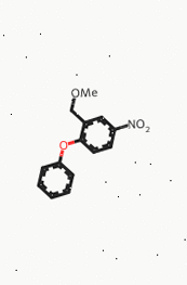 COCc1cc([N+](=O)[O-])ccc1Oc1ccccc1